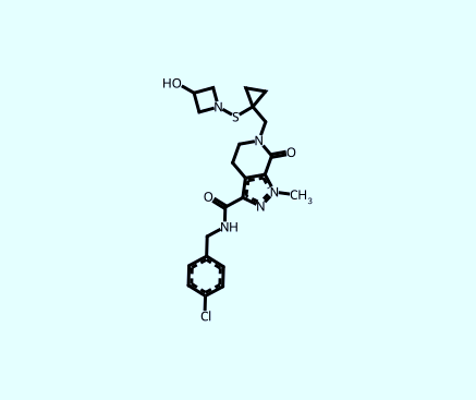 Cn1nc(C(=O)NCc2ccc(Cl)cc2)c2c1C(=O)N(CC1(SN3CC(O)C3)CC1)CC2